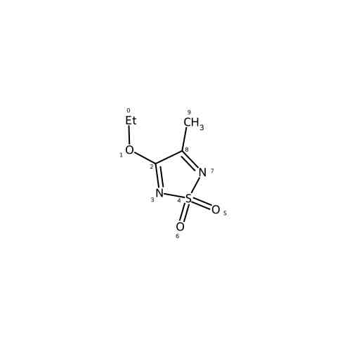 CCOC1=NS(=O)(=O)N=C1C